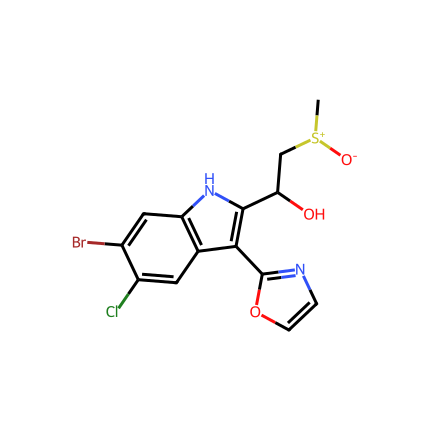 C[S+]([O-])CC(O)c1[nH]c2cc(Br)c(Cl)cc2c1-c1ncco1